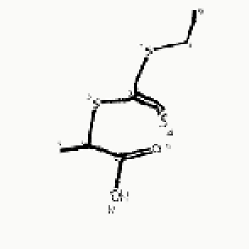 CCSC(=S)SC(C)C(=O)O